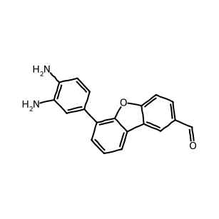 Nc1ccc(-c2cccc3c2oc2ccc(C=O)cc23)cc1N